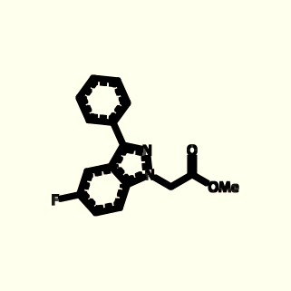 COC(=O)Cn1nc(-c2ccccc2)c2cc(F)ccc21